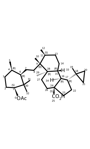 CC(=O)O[C@H]1CC[C@@H](C)[C@@H](CC[C@]2(C)[C@@H](C)CC[C@@H]3[C@H]4[C@H](C5(C)CC5)CC[C@]4(C(=O)O)CC[C@]32C)C1(C)C